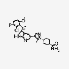 COc1ccc(F)c(Cl)c1[C@@H](C)c1c[nH]c2ncc(-c3cnn([C@H]4CC[C@H](C(N)=O)CC4)c3C)cc12